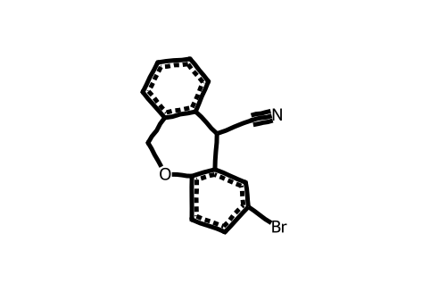 N#CC1c2ccccc2COc2ccc(Br)cc21